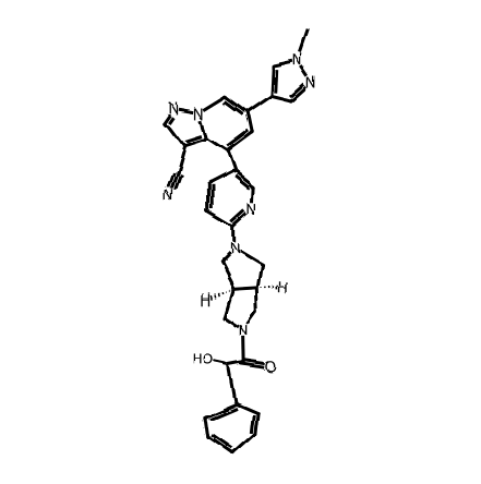 Cn1cc(-c2cc(-c3ccc(N4C[C@H]5CN(C(=O)C(O)c6ccccc6)C[C@H]5C4)nc3)c3c(C#N)cnn3c2)cn1